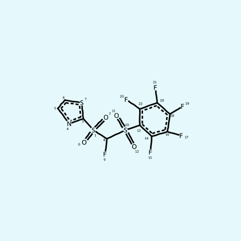 O=S(=O)(c1nccs1)C(F)S(=O)(=O)c1c(F)c(F)c(F)c(F)c1F